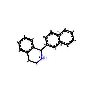 c1ccc2c(c1)CCNC2c1ccc2ccccc2c1